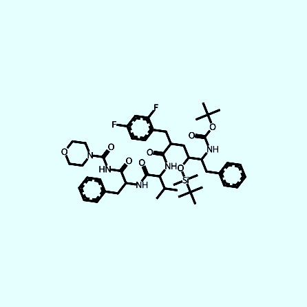 CC(C)C(NC(=O)C(Cc1ccc(F)cc1F)CC(O[Si](C)(C)C(C)(C)C)C(Cc1ccccc1)NC(=O)OC(C)(C)C)C(=O)NC(Cc1ccccc1)C(=O)NC(=O)N1CCOCC1